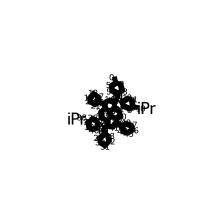 Cc1ccc(N(c2ccc(C(C)C)cc2)c2cc(-c3ccccc3)c3ccc4c(N(c5ccccc5)c5ccc(C(C)C)cc5)cc(-c5ccccc5)c5ccc2c3c54)cc1